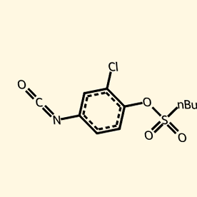 CCCCS(=O)(=O)Oc1ccc(N=C=O)cc1Cl